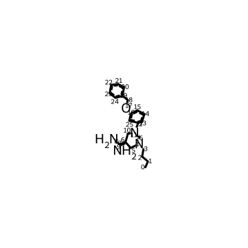 CCCCN1CC(=C(N)N)CN(c2cccc(OCc3ccccc3)c2)C1